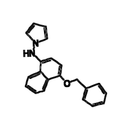 c1ccc(COc2ccc(Nn3cccc3)c3ccccc23)cc1